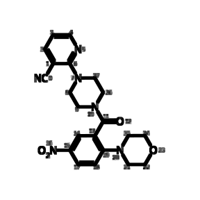 N#Cc1cccnc1N1CCN(C(=O)c2cc([N+](=O)[O-])ccc2N2CCOCC2)CC1